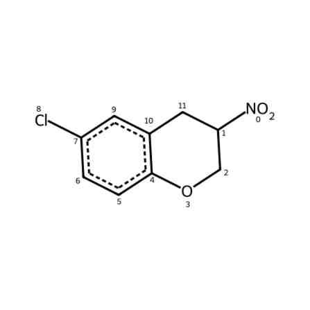 O=[N+]([O-])C1COc2ccc(Cl)cc2C1